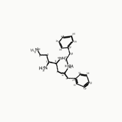 NCCC(N)C(N)CC(Cc1ccccc1)NCCc1ccccc1